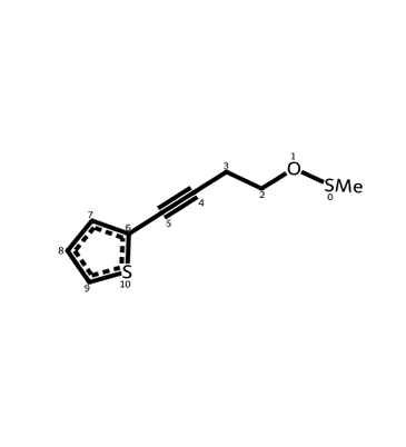 CSOCCC#Cc1cccs1